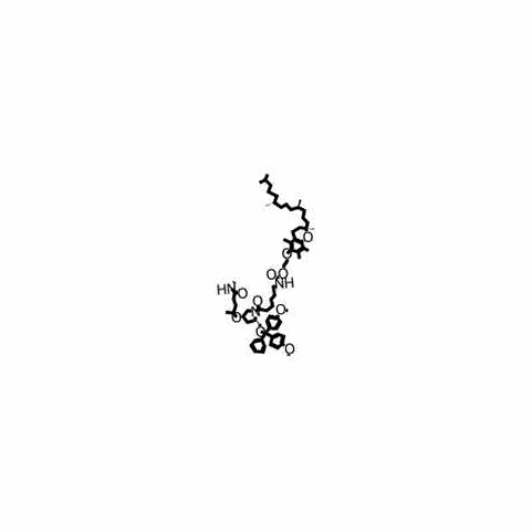 CNC(=O)CCC(C)O[C@@H]1C[C@@H](COC(c2ccccc2)(c2ccc(OC)cc2)c2ccc(OC)cc2)N(C(=O)CCCCCNC(=O)OCCOc2c(C)c(C)c3c(c2C)CC[C@@](C)(CCC[C@H](C)CCC[C@H](C)CCCC(C)C)O3)C1